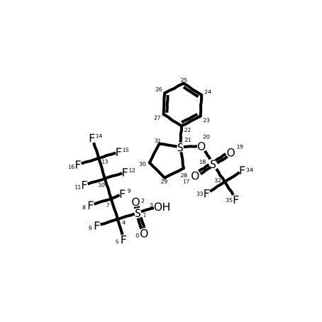 O=S(=O)(O)C(F)(F)C(F)(F)C(F)(F)C(F)(F)F.O=S(=O)(OS1(c2ccccc2)CCCC1)C(F)(F)F